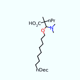 CCCCCCCCCCCCCCCCCCOC(N(C)C)C(C)(CCC)C(=O)O